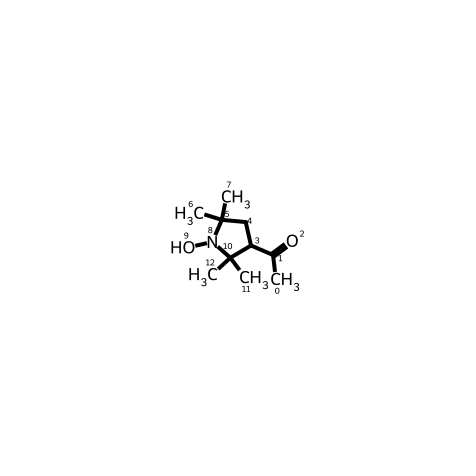 CC(=O)C1CC(C)(C)N(O)C1(C)C